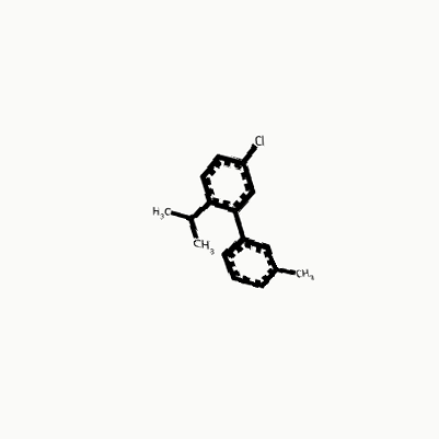 Cc1cccc(-c2cc(Cl)ccc2C(C)C)c1